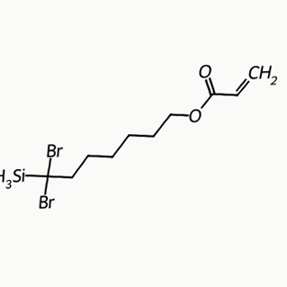 C=CC(=O)OCCCCCCC([SiH3])(Br)Br